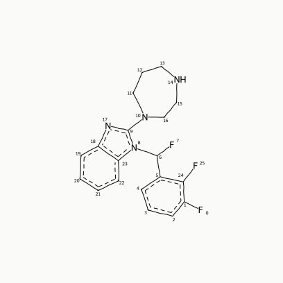 Fc1cccc(C(F)n2c(N3CCCNCC3)nc3ccccc32)c1F